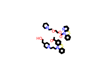 CC(=O)c1ccc2c(c1)N(CCCN1CCC(CCO)CC1)c1ccccc1S2.O=C(OCCOCCN1CCCCC1)N1c2ccccc2Sc2cccnc21